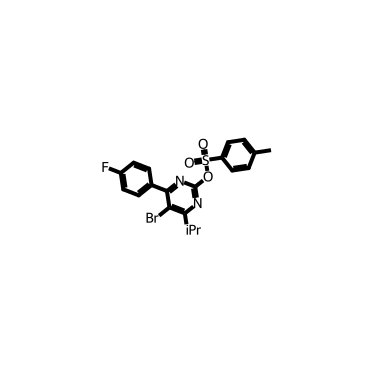 Cc1ccc(S(=O)(=O)Oc2nc(-c3ccc(F)cc3)c(Br)c(C(C)C)n2)cc1